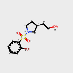 O=S(=O)(c1ccccc1Br)N1CC[C@@H](CCO)C1